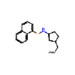 CNCC1CCC(NSc2cccc3ccccc23)C1